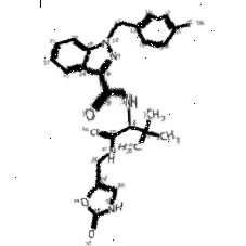 CC(C)(C)[C@H](NC(=O)c1nn(Cc2ccc(F)cc2)c2ccccc12)C(=O)NCC1CNC(=O)O1